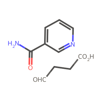 NC(=O)c1cccnc1.O=CCCC(=O)O